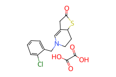 O=C(O)C(=O)O.O=C1CC2=CN(Cc3ccccc3Cl)CCC2S1